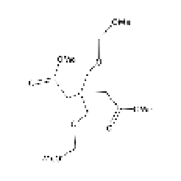 COCOCC(COCOC)(CC(=O)OC)CC(=O)OC